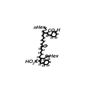 CCCCCCSCC(CCCCCC(=O)CCCCCC(CSCCCCCC)C(CC1CCCCC1)C(=O)O)C(CC1CCCCC1)C(=O)O